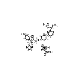 CCN(CC)c1nccc(-c2ccc(OC[C@@H]3CO[C@@](Cc4ncc[nH]4)(c4ccc(Cl)cc4Cl)O3)cc2)n1.O=[N+]([O-])O.O=[N+]([O-])O